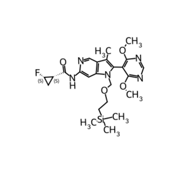 COc1ncnc(OC)c1-c1c(C)c2cnc(NC(=O)[C@@H]3C[C@@H]3F)cc2n1COCC[Si](C)(C)C